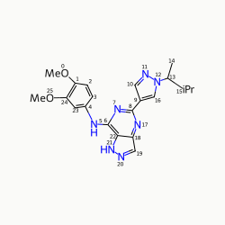 COc1ccc(Nc2nc(-c3cnn(C(C)C(C)C)c3)nc3cn[nH]c23)cc1OC